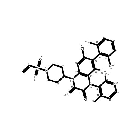 C=CS(=O)(=O)N1CCC(n2c(=O)c(=O)n(-c3c(C)ccnc3C(C)C)c3c(F)c(-c4c(O)cccc4F)c(Cl)cc32)CC1